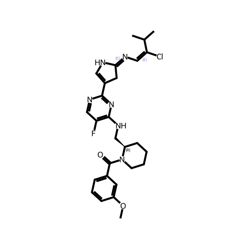 COc1cccc(C(=O)N2CCCC[C@@H]2CNc2nc(C3=CN/C(=N/C=C(/Cl)C(C)C)C3)ncc2F)c1